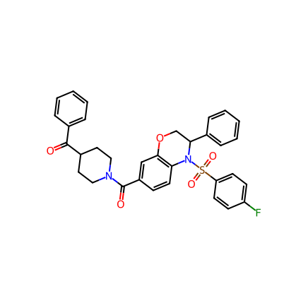 O=C(c1ccccc1)C1CCN(C(=O)c2ccc3c(c2)OCC(c2ccccc2)N3S(=O)(=O)c2ccc(F)cc2)CC1